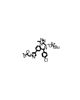 Cc1nnc2n1-c1ccc(-c3cnn(CC(=O)N(C)C)c3)cc1C(c1ccc(Cl)cc1)=N[C@H]2CO[Si](C)(C)C(C)(C)C